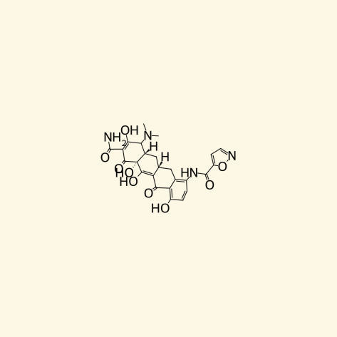 CN(C)C1C(O)=C(C(N)=O)C(=O)[C@]2(O)C(O)=C3C(=O)c4c(O)ccc(NC(=O)c5ccno5)c4C[C@H]3C[C@@H]12